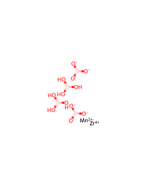 OB(O)O.OB(O)O.[Mn+2].[O-]B([O-])[O-].[O-]B([O-])[O-].[Zr+4]